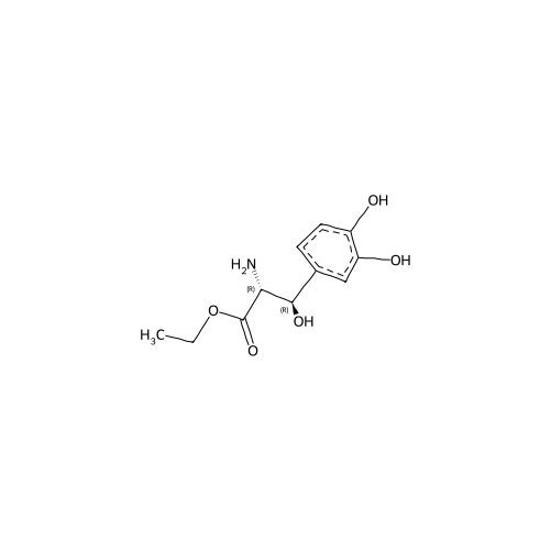 CCOC(=O)[C@H](N)[C@H](O)c1ccc(O)c(O)c1